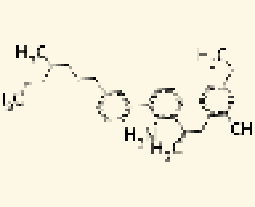 C=C(Cc1ccc(CC)cc1C)c1cccc(-c2cccc(CCCC(C)CCC)c2)c1N